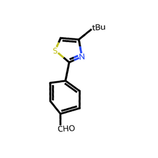 CC(C)(C)c1csc(-c2ccc(C=O)cc2)n1